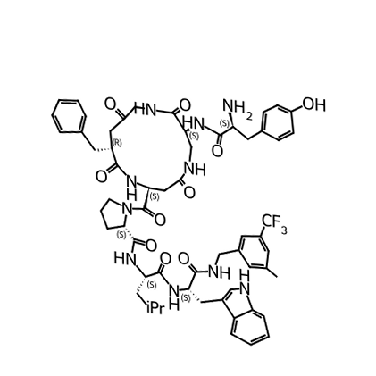 Cc1cc(CNC(=O)[C@H](Cc2c[nH]c3ccccc23)NC(=O)[C@H](CC(C)C)NC(=O)[C@@H]2CCCN2C(=O)[C@@H]2CC(=O)NC[C@H](NC(=O)[C@@H](N)Cc3ccc(O)cc3)C(=O)NCC(=O)C[C@@H](Cc3ccccc3)C(=O)N2)cc(C(F)(F)F)c1